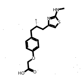 CNc1nc(C[C@@H](C)Cc2ccc(OCC(=O)O)cc2)cs1